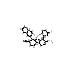 Cc1ccc2c(oc3c(-c4ccc5ccccc5c4)c(C#N)ccc32)c1-c1cc(F)cc[n+]1C